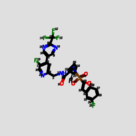 O=C(NCc1cc(-c2cnc(C(F)(F)F)nc2)c(F)cn1)[C@@H]1C2CC(C2)N1S(=O)(=O)c1cc2cc(F)ccc2o1